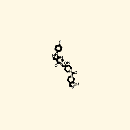 O=C(N1CCC(O)(Cn2cnc3c(cnn3-c3ccc(F)cc3)c2=O)CC1)N1CCc2cn[nH]c2C1